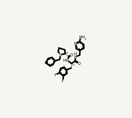 Nc1ccc(CNC(=O)[C@H](Cc2ccc(F)c(F)c2)NC(=O)[C@H]2CCCN2Cc2ccccc2)cn1